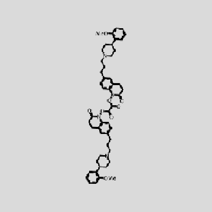 COc1ccccc1C1CCN(CCCc2ccc3c(c2)CCC(=O)N3OC(=O)C(=O)ON2C(=O)CCc3cc(CCCN4CCC(c5ccccc5OC)CC4)ccc32)CC1